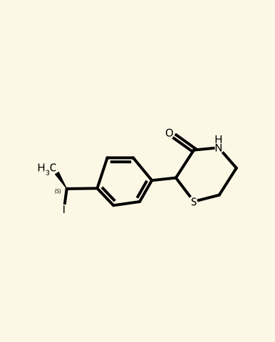 C[C@H](I)c1ccc(C2SCCNC2=O)cc1